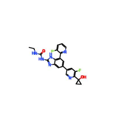 CCNC(=O)Nc1nc2cc(-c3cnc(C4(O)CC4)c(F)c3)cc(-c3ncccc3F)c2[nH]1